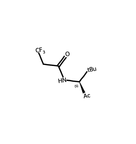 CC(=O)[C@@H](NC(=O)CC(F)(F)F)C(C)(C)C